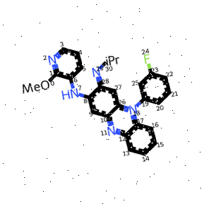 COc1ncccc1Nc1cc2nc3ccccc3n(-c3cccc(F)c3)c-2cc1=NC(C)C